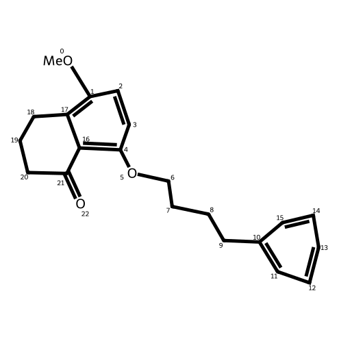 COc1ccc(OCCCCc2ccccc2)c2c1CCCC2=O